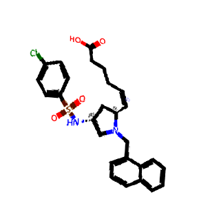 O=C(O)CCC/C=C\[C@@H]1C[C@@H](NS(=O)(=O)c2ccc(Cl)cc2)CN1Cc1cccc2ccccc12